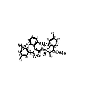 COc1cccc(OC)c1-n1c(NS(=O)(=O)C(C)C(OC)c2ncc(C)cn2)nnc1-c1cncc(C)c1